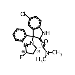 CC(C)c1ccccc1C1(N2C[C@H](F)C[C@H]2C(=O)N(C)C)C(=O)Nc2ccc(Cl)cc21